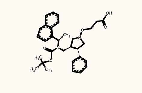 C[C@H](c1cccc2ccccc12)N(C[C@H]1CN(OCCC(=O)O)C[C@@H]1c1ccccc1)C(=O)OC(C)(C)C